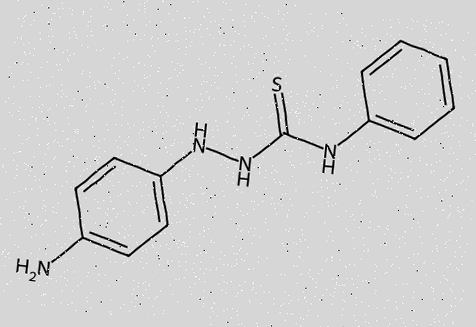 Nc1ccc(NNC(=S)Nc2ccccc2)cc1